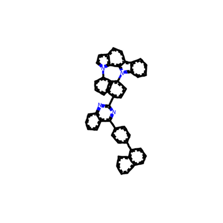 c1ccc(-n2ccc3ccc4c5ccccc5n(-c5ccc(-c6nc(-c7ccc(-c8cccc9ccccc89)cc7)c7ccccc7n6)cc5)c4c32)cc1